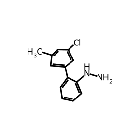 Cc1cc(Cl)cc(-c2ccccc2NN)c1